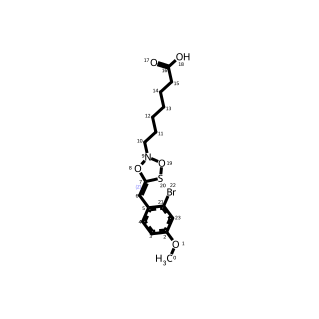 COc1ccc(/C=C2/ON(CCCCCCC(=O)O)OS2)c(Br)c1